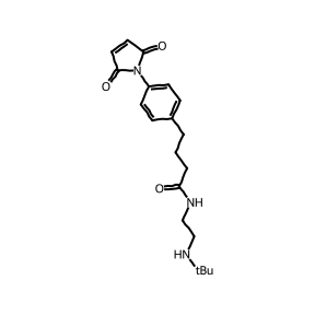 CC(C)(C)NCCNC(=O)CCCc1ccc(N2C(=O)C=CC2=O)cc1